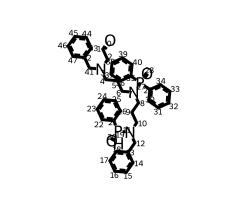 O=CCN(CCCN(CCCN(Cc1ccccc1)[PH](=O)c1ccccc1)P(=O)(c1ccccc1)c1ccccc1)Cc1ccccc1